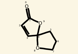 O=C1C=CC2(CCCO2)O1